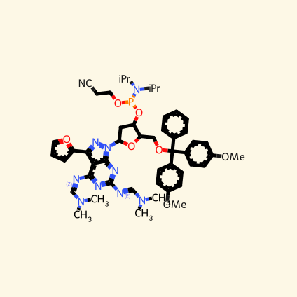 COc1ccc(C(OCC2OC(n3nc(-c4ccco4)c4c(/N=C\N(C)C)nc(/N=C/N(C)C)nc43)CC2OP(OCCC#N)N(C(C)C)C(C)C)(c2ccccc2)c2ccc(OC)cc2)cc1